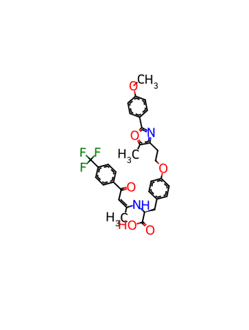 COc1ccc(-c2nc(CCOc3ccc(C[C@H](N/C(C)=C\C(=O)c4ccc(C(F)(F)F)cc4)C(=O)O)cc3)c(C)o2)cc1